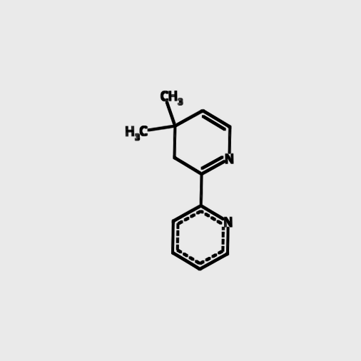 CC1(C)C=CN=C(c2ccccn2)C1